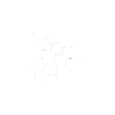 CCOC(=O)[C@@H](OC(C)(C)C)c1c(C)cc2c(F)c(C#N)ccc2c1-c1ccc2c3c(ccnc13)CCO2